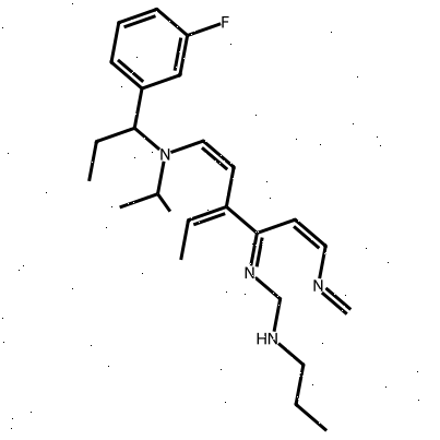 C=N\C=C/C(=N\CNCCC)C(/C=C\N(C(C)C)C(CC)c1cccc(F)c1)=C\C